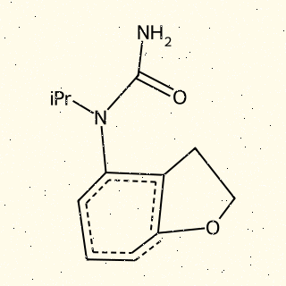 CC(C)N(C(N)=O)c1cccc2c1CCO2